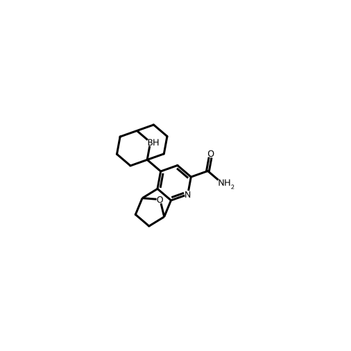 NC(=O)c1cc(C23BC(CCC2)CCC3)c2c(n1)C1CCC2O1